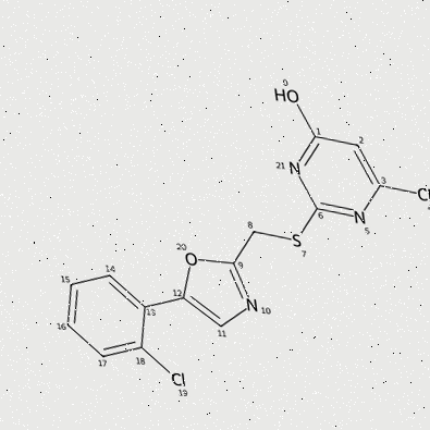 Oc1cc(C(F)(F)F)nc(SCc2ncc(-c3ccccc3Cl)o2)n1